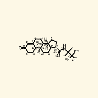 CC(C)(NC(=O)[C@H]1CC[C@H]2[C@@H]3CCC4=CC(=O)CC[C@]4(C)[C@H]3CC[C@]12C)C(F)(F)F